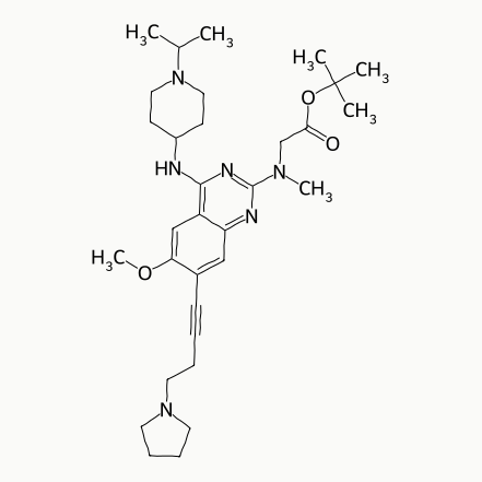 COc1cc2c(NC3CCN(C(C)C)CC3)nc(N(C)CC(=O)OC(C)(C)C)nc2cc1C#CCCN1CCCC1